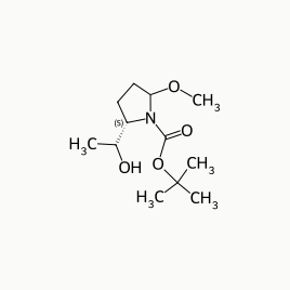 COC1CC[C@@H](C(C)O)N1C(=O)OC(C)(C)C